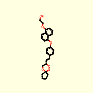 OCCOc1cccc2c(Oc3ccc(C=CC4COC5(CCCC5)OO4)cc3)cccc12